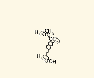 COC(C)OCOc1cc2ccc(C=CC(C)=CC(=O)O)cc2cc1C12CC3CC(CC(C3)C1)C2